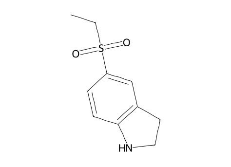 CCS(=O)(=O)c1ccc2c(c1)CCN2